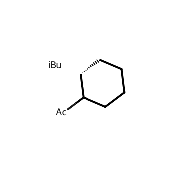 CC[C@H](C)[C@@H]1CCCCC1C(C)=O